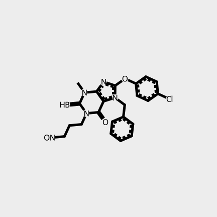 B=C1N(CCCN=O)C(=O)c2c(nc(Oc3ccc(Cl)cc3)n2Cc2ccccc2)N1C